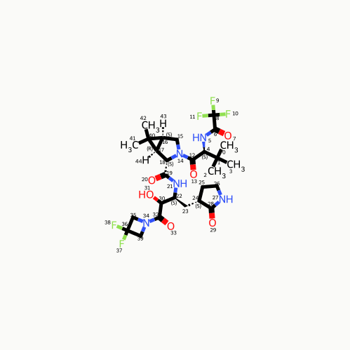 CC(C)(C)[C@H](NC(=O)C(F)(F)F)C(=O)N1C[C@H]2[C@@H]([C@H]1C(=O)N[C@@H](C[C@@H]1CCNC1=O)C(O)C(=O)N1CC(F)(F)C1)C2(C)C